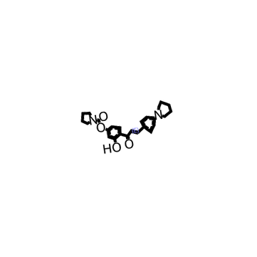 O=C(/C=C/c1ccc(N2CCCCC2)cc1)c1ccc(OC(=O)N2CCCC2)cc1O